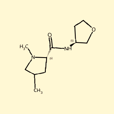 CC1C[C@@H](C(=O)N[C@H]2CCOC2)N(C)C1